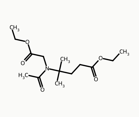 CCOC(=O)CCC(C)(C)N(CC(=O)OCC)C(C)=O